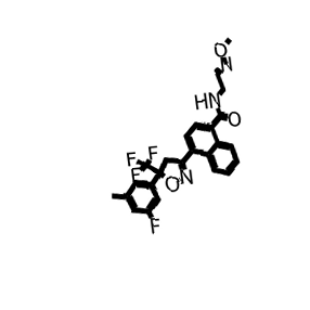 CO/N=C/CNC(=O)c1ccc(C2=NOC(c3cc(C)cc(F)c3)(C(F)(F)F)C2)c2ccccc12